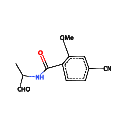 COc1cc(C#N)ccc1C(=O)NC(C)C=O